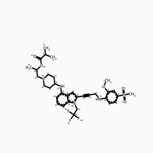 COc1cc(S(C)(=O)=O)ccc1NCC#Cc1cc2c(NC3CCN(CC(C)OC(=O)C(C)C)CC3)cccc2n1CC(F)(F)F